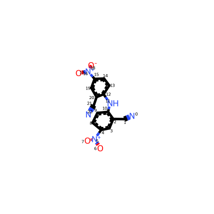 N#Cc1cc([N+](=O)[O-])ccc1Nc1ccc([N+](=O)[O-])cc1C#N